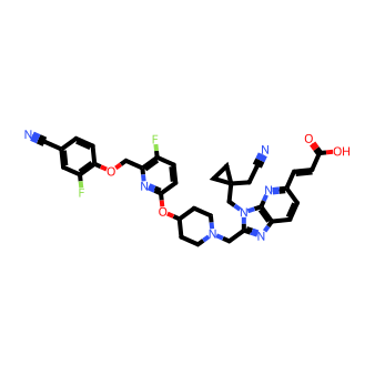 N#CCC1(Cn2c(CN3CCC(Oc4ccc(F)c(COc5ccc(C#N)cc5F)n4)CC3)nc3ccc(/C=C/C(=O)O)nc32)CC1